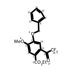 CCOC(=O)c1cc(OC)c(OCc2ccccc2)cc1C(=O)C(F)(F)F